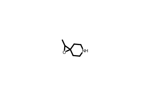 CC1OC12CCNCC2